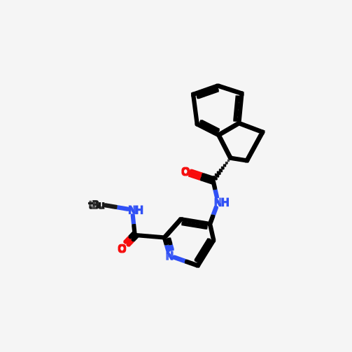 CC(C)(C)NC(=O)c1cc(NC(=O)[C@H]2CCc3ccccc32)ccn1